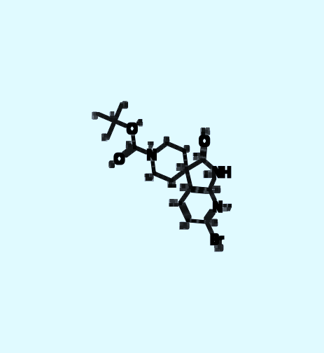 CC(C)(C)OC(=O)N1CCC2(CC1)C(=O)Nc1nc(Br)ccc12